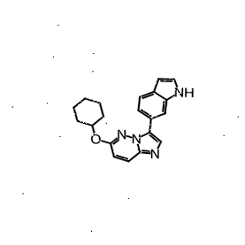 c1cc2ccc(-c3cnc4ccc(OC5CCCCC5)nn34)cc2[nH]1